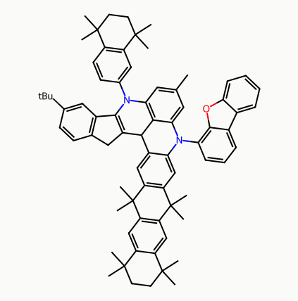 Cc1cc2c3c(c1)N(c1cccc4c1oc1ccccc14)c1cc4c(cc1C3C1=C(c3cc(C(C)(C)C)ccc3C1)N2c1ccc2c(c1)C(C)(C)CCC2(C)C)C(C)(C)c1cc2c(cc1C4(C)C)C(C)(C)CCC2(C)C